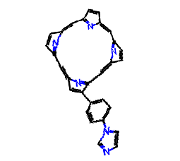 C1=CC2=NC1=CC1=NC(=CC3=NC(=CC4=NC(=C2)C=C4)C=C3c2ccc(-n3ccnc3)cc2)C=C1